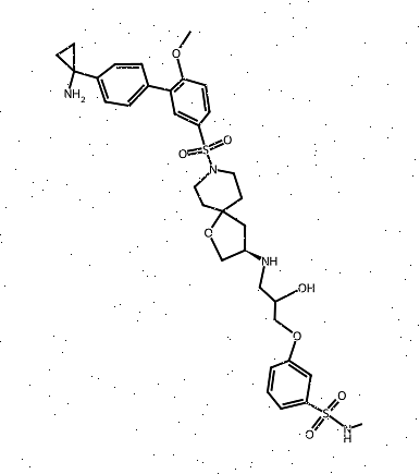 CNS(=O)(=O)c1cccc(OCC(O)CN[C@H]2COC3(CCN(S(=O)(=O)c4ccc(OC)c(-c5ccc(C6(N)CC6)cc5)c4)CC3)C2)c1